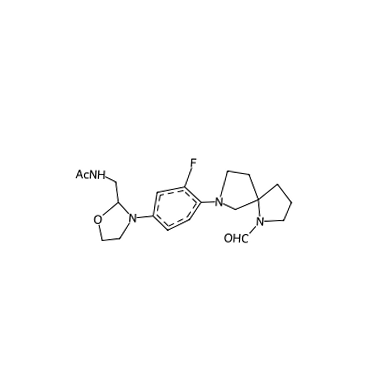 CC(=O)NCC1OCCN1c1ccc(N2CCC3(CCCN3C=O)C2)c(F)c1